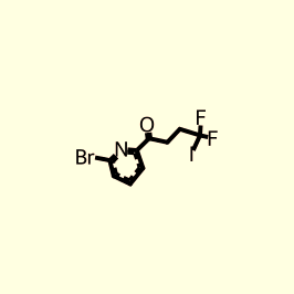 O=C(CCC(F)(F)I)c1cccc(Br)n1